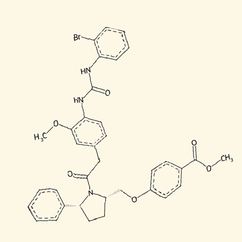 COC(=O)c1ccc(OC[C@@H]2CC[C@H](c3ccccc3)N2C(=O)Cc2ccc(NC(=O)Nc3ccccc3Br)c(OC)c2)cc1